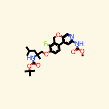 COC(=O)Nc1cc2c(cn1)OCc1c-2ccc(OCC(C)(CC(C)C)NC(=O)OC(C)(C)C)c1F